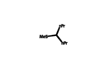 CCCC(CCC)SC